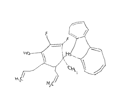 C=CCC1=C(O)C(F)=C(F)C(C)([SH]2c3ccccc3-c3ccccc32)C1C=C